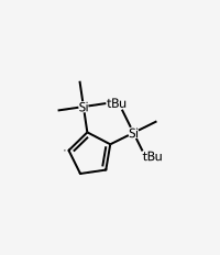 CC(C)(C)[Si](C)(C)C1=[C]CC=C1[Si](C)(C)C(C)(C)C